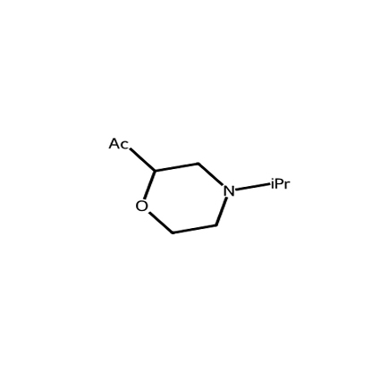 CC(=O)C1CN(C(C)C)CCO1